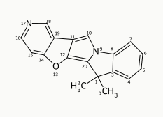 CC1(C)c2ccccc2-n2cc3c(oc4ccncc43)c21